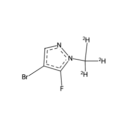 [2H]C([2H])([2H])n1ncc(Br)c1F